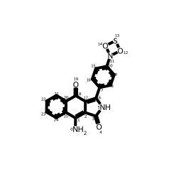 NC1=C2C(=O)NC(c3ccc(N4OSO4)cc3)=C2C(=O)c2ccccc21